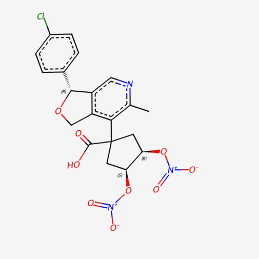 Cc1ncc2c(c1C1(C(=O)O)C[C@H](O[N+](=O)[O-])[C@H](O[N+](=O)[O-])C1)CO[C@@H]2c1ccc(Cl)cc1